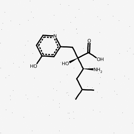 CC(C)C[C@H](N)[C@](O)(Cc1cc(O)ccn1)C(=O)O